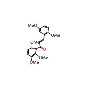 COc1ccc(OC)c(C=CC(=O)c2c(OC)ccc(OC)c2OC)c1